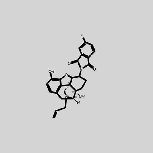 C=CCN1CC[C@]23c4c5ccc(O)c4OC2C(N2C(=O)c4ccc(F)cc4C2=O)CC[C@@]3(O)[C@H]1C5